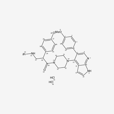 COc1ccc(-c2cnc3[nH]ccc3c2N2CCN(C(=O)C(CNC(C)C)c3ccc(Cl)cc3)CC2)cc1.Cl.Cl